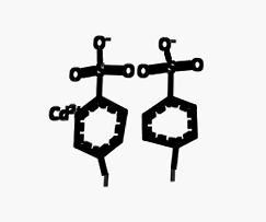 O=S(=O)([O-])c1ccc(I)cc1.O=S(=O)([O-])c1ccc(I)cc1.[Cd+2]